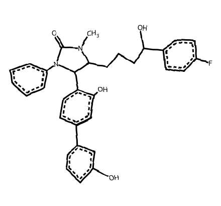 CN1C(=O)N(c2ccccc2)C(c2ccc(-c3cccc(O)c3)cc2O)C1CCCC(O)c1ccc(F)cc1